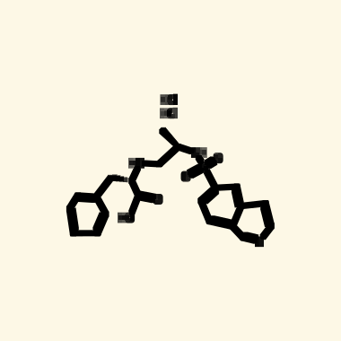 C[C@H](CN[C@@H](Cc1ccccc1)C(=O)O)NS(=O)(=O)c1ccc2cnccc2c1.Cl.Cl